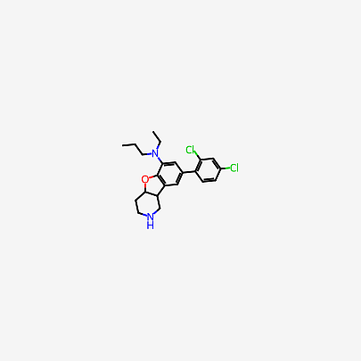 CCCN(CC)c1cc(-c2ccc(Cl)cc2Cl)cc2c1OC1CCNCC21